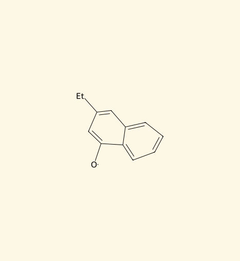 CCc1cc([O])c2ccccc2c1